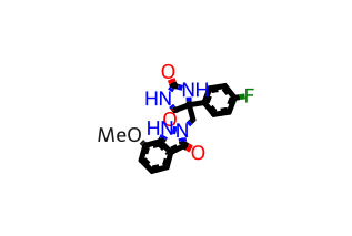 COc1cccc2c(=O)n(CC3(c4ccc(F)cc4)NC(=O)NC3=O)[nH]c12